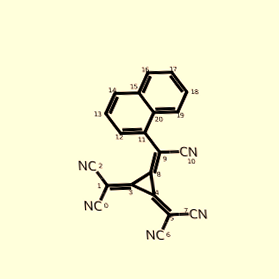 N#CC(C#N)=C1C(=C(C#N)C#N)C1=C(C#N)c1cccc2ccccc12